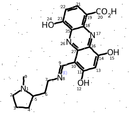 CN1CCCC1CC/N=C/c1c(O)cc(O)c2nc3c(C(=O)O)ccc(O)c3nc12